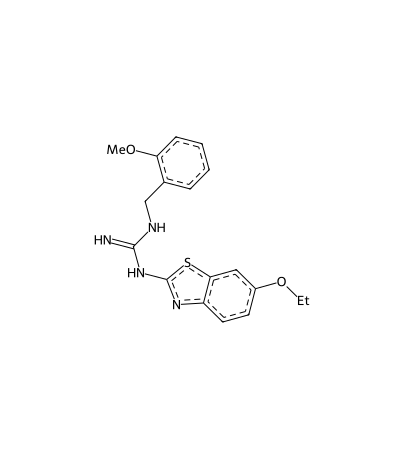 CCOc1ccc2nc(NC(=N)NCc3ccccc3OC)sc2c1